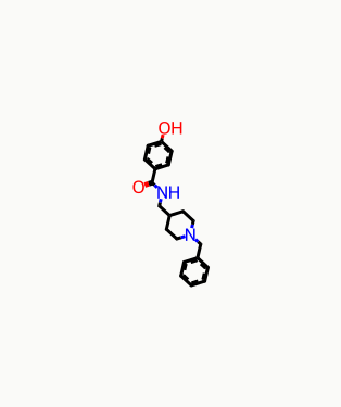 O=C(NCC1CCN(Cc2ccccc2)CC1)c1ccc(O)cc1